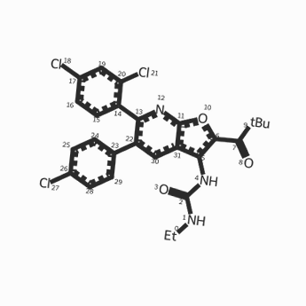 CCNC(=O)Nc1c(C(=O)C(C)(C)C)oc2nc(-c3ccc(Cl)cc3Cl)c(-c3ccc(Cl)cc3)cc12